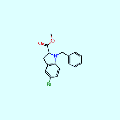 COC(=O)C1Cc2cc(Br)ccc2N1Cc1ccccc1